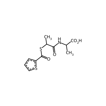 CC(NC(=O)C(C)SC(=O)c1cccs1)C(=O)O